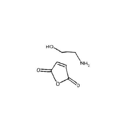 NCCO.O=C1C=CC(=O)O1